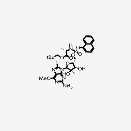 COc1nc(N)nc2c1nc(I)n2C1O[C@H](COP(=O)(N[C@@H](C)C(=O)OCC(C)(C)C)Oc2cccc3ccccc23)[C@@H](O)[C@@]1(C)O